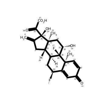 C=C1C[C@H]2[C@@H]3C[C@H](F)C4=CC(=O)C=C[C@]4(C)[C@@]3(F)[C@@H](O)C[C@]2(C)[C@@]1(O)C(=O)C(=O)O